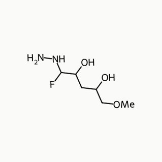 COCC(O)CC(O)C(F)NN